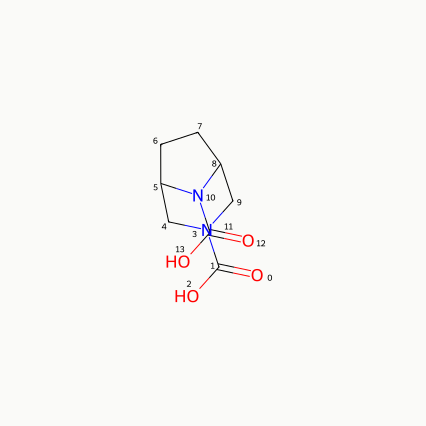 O=C(O)N1CC2CCC(C1)N2C(=O)O